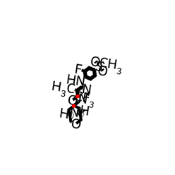 Cc1c(Nc2ccc(S(C)(=O)=O)cc2F)ncnc1OC1C[C@H]2COC[C@@H](C1)N2CCC(F)(F)F